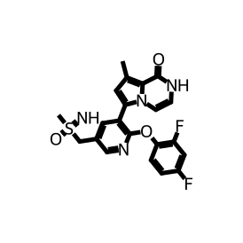 Cc1cc(-c2cc(CS(C)(=N)=O)cnc2Oc2ccc(F)cc2F)n2cc[nH]c(=O)c12